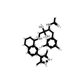 CC(=O)NC(Cc1cc(F)cc(F)c1)C(O)(O)CNC1CCCc2ccc(-c3c(C)noc3C)cc21